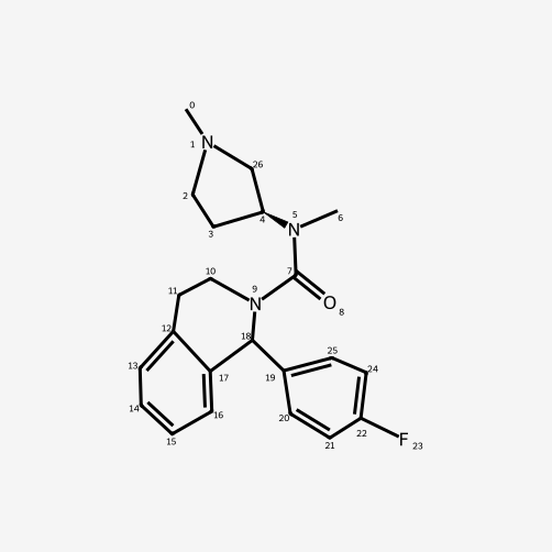 CN1CC[C@H](N(C)C(=O)N2CCc3ccccc3C2c2ccc(F)cc2)C1